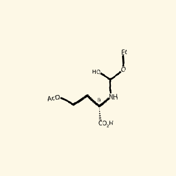 CCOC(O)N[C@@H](CCOC(C)=O)C(=O)O